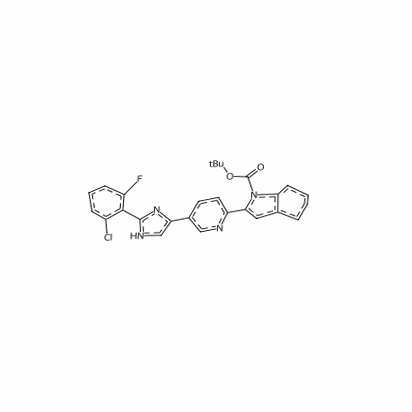 CC(C)(C)OC(=O)n1c(-c2ccc(-c3c[nH]c(-c4c(F)cccc4Cl)n3)cn2)cc2ccccc21